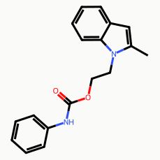 Cc1cc2ccccc2n1CCOC(=O)Nc1ccccc1